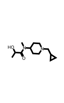 CC(O)C(=O)N(C)C1CCN(CC2CC2)CC1